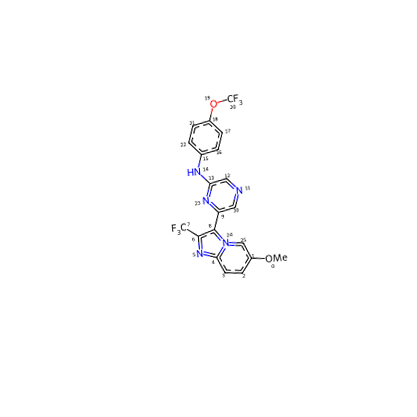 COc1ccc2nc(C(F)(F)F)c(-c3cncc(Nc4ccc(OC(F)(F)F)cc4)n3)n2c1